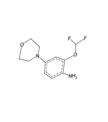 Nc1ccc(N2CCOCC2)cc1OC(F)F